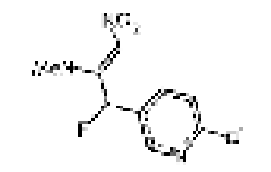 CNC(=C[N+](=O)[O-])C(F)c1ccc(Cl)nc1